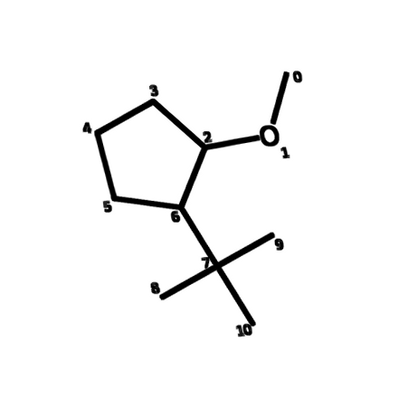 COC1CCCC1C(C)(C)C